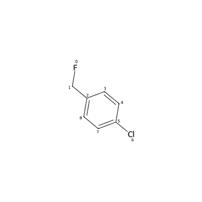 FCc1ccc(Cl)cc1